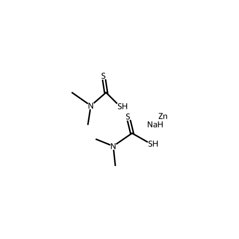 CN(C)C(=S)S.CN(C)C(=S)S.[NaH].[Zn]